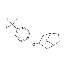 CN1C2CCC1CC(Oc1ccc(C(F)(F)F)cc1)C2